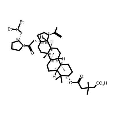 C=C(C)[C@@H]1CC[C@]2(CC(=O)N3CCC[C@@H]3CN(CC)CC)CC[C@]3(C)[C@H](CC[C@@H]4[C@@]5(C)CC[C@H](OC(=O)CC(C)(C)CC(=O)O)C(C)(C)[C@@H]5CC[C@]43C)[C@@H]12